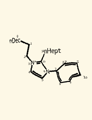 CCCCCCCCCCCC[n+]1ccn(-c2ccccc2)c1CCCCCCC